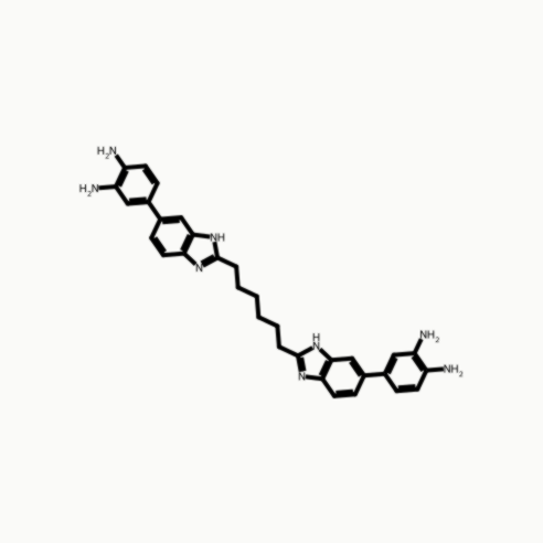 Nc1ccc(-c2ccc3nc(CCCCCCc4nc5ccc(-c6ccc(N)c(N)c6)cc5[nH]4)[nH]c3c2)cc1N